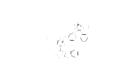 CCCc1cc(C(=O)N[C@@H](CS)Cc2ccccc2)nn1Cc1ccc(-c2ccccc2-c2nnn[nH]2)nc1